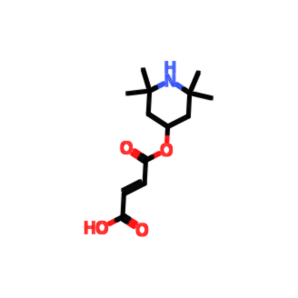 CC1(C)CC(OC(=O)/C=C/C(=O)O)CC(C)(C)N1